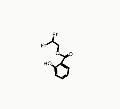 CCC(CC)COC(=O)c1ccccc1O